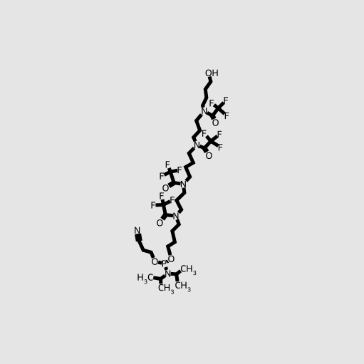 CC(C)N(C(C)C)P(OCCC#N)OCCCCN(CCCN(CCCCN(CCCN(CCCCO)C(=O)C(F)(F)F)C(=O)C(F)(F)F)C(=O)C(F)(F)F)C(=O)C(F)(F)F